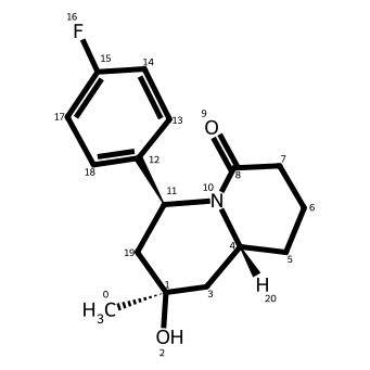 C[C@@]1(O)C[C@H]2CCCC(=O)N2[C@H](c2ccc(F)cc2)C1